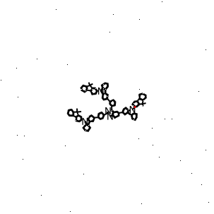 CC1(C)c2ccccc2-c2ccc(-n3c4ccccc4c4cc(-c5ccc(-c6nc(-c7cccc(-c8ccc9c(c8)c8ccccc8n9-c8ccc9c(c8)C(C)(C)c8ccccc8-9)c7)c7cc(-c8ccc9c(c8)c8ccccc8n9-c8ccc9c(c8)C(C)(C)c8ccccc8-9)ccc7n6)cc5)ccc43)cc21